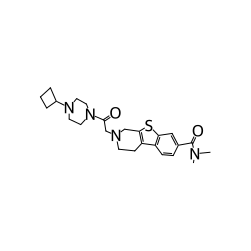 CN(C)C(=O)c1ccc2c3c(sc2c1)CN(CC(=O)N1CCN(C2CCC2)CC1)CC3